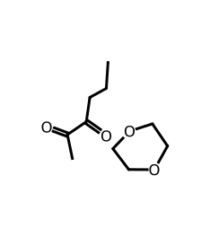 C1COCCO1.CCCC(=O)C(C)=O